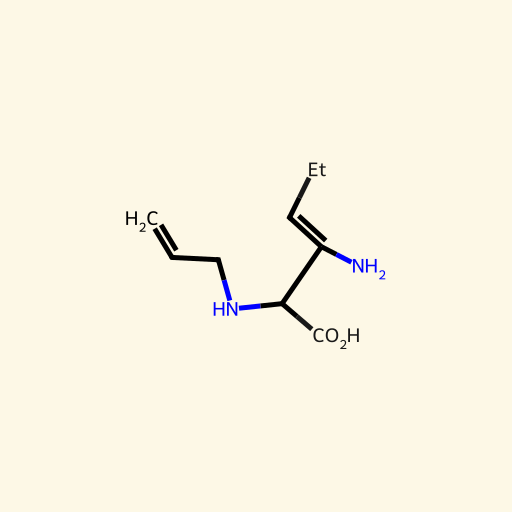 C=CCNC(C(=O)O)C(N)=CCC